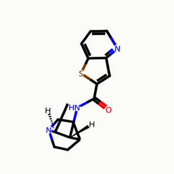 C[C@H]1[C@H](NC(=O)c2cc3ncccc3s2)C2CCN1CC2